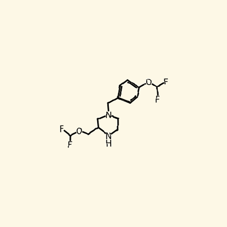 FC(F)OCC1CN(Cc2ccc(OC(F)F)cc2)CCN1